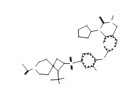 Cc1cc(S(=O)(=O)C2CC3(CCN(C(=O)O)CC3)C2C(C)(C)C)ccc1Nc1ncc2c(n1)N(C1CCCC1)C(=O)N(C)C2